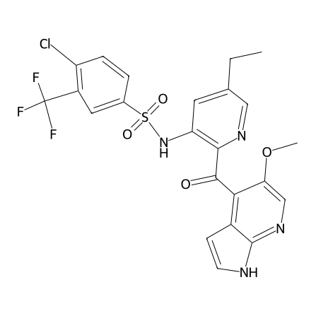 CCc1cnc(C(=O)c2c(OC)cnc3[nH]ccc23)c(NS(=O)(=O)c2ccc(Cl)c(C(F)(F)F)c2)c1